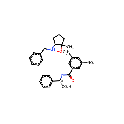 CC1(O)CCCC1NCc1ccccc1.O=C(N[C@H](C(=O)O)c1ccccc1)c1cc([N+](=O)[O-])cc([N+](=O)[O-])c1